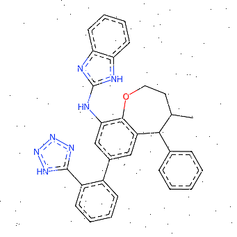 CC1CCOc2c(Nc3nc4ccccc4[nH]3)cc(-c3ccccc3-c3nnn[nH]3)cc2C1c1ccccc1